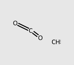 O=C=O.[CH]